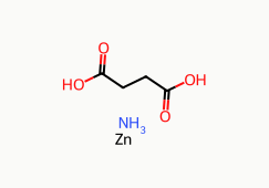 N.O=C(O)CCC(=O)O.[Zn]